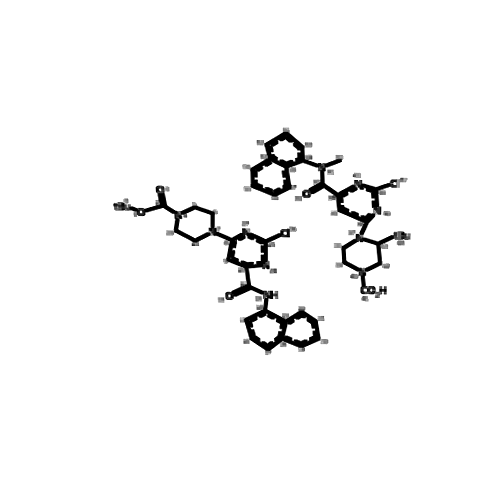 CC(C)(C)OC(=O)N1CCN(c2cc(C(=O)Nc3cccc4ccccc34)nc(Cl)n2)CC1.CN(C(=O)c1cc(N2CCN(C(=O)O)CC2C(C)(C)C)nc(Cl)n1)c1cccc2ccccc12